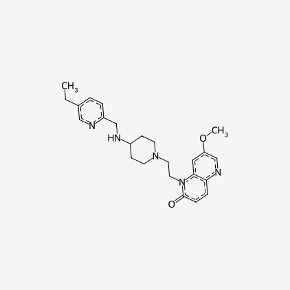 CCc1ccc(CNC2CCN(CCn3c(=O)ccc4ncc(OC)cc43)CC2)nc1